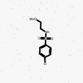 COCCNS(=O)(=O)c1ccc(Cl)cc1